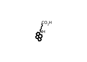 O=C(O)CCCCCNc1ccc2ccc3cccc4ccc1c2c34